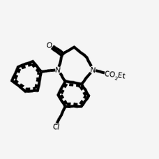 CCOC(=O)N1CCC(=O)N(c2ccccc2)c2cc(Cl)ccc21